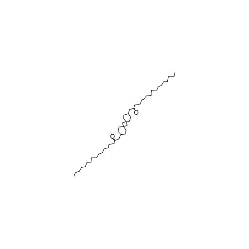 CCCCCCCCCCCCCCCC(=O)C[C@H]1CCC2(CC1)CC1(CC[C@H](CC(=O)CCCCCCCCCCCCCCC)CC1)C2